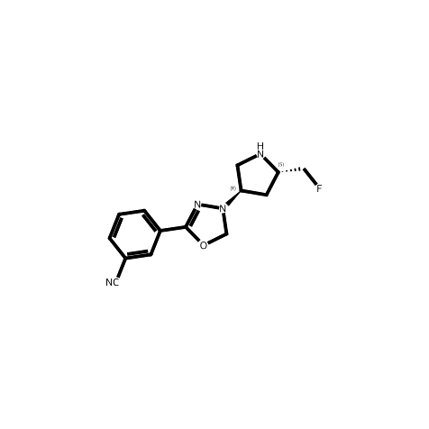 N#Cc1cccc(C2=NN([C@H]3CN[C@H](CF)C3)CO2)c1